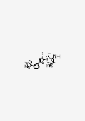 Cc1nnc(-c2cccc(-c3cc(F)c([C@]4(C)CS(=O)(=O)N(C)C(=N)N4)s3)c2)o1